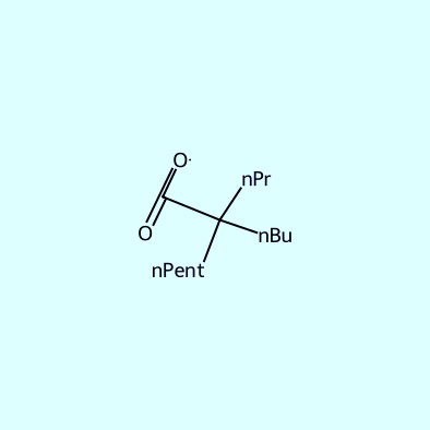 CCCCCC(CCC)(CCCC)C([O])=O